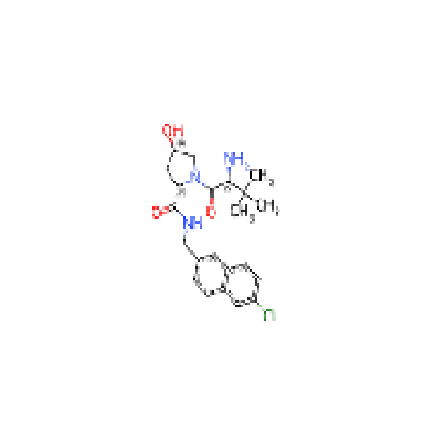 CC(C)(C)[C@H](N)C(=O)N1C[C@H](O)C[C@H]1C(=O)NCc1ccc2cc(Cl)ccc2c1